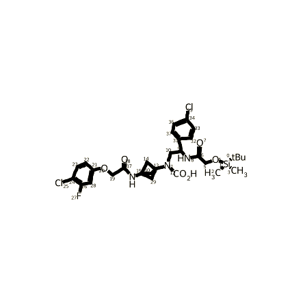 CC(C)(C)[Si](C)(C)OCC(=O)NC(CN(C(=O)O)C12CC(NC(=O)COc3ccc(Cl)c(F)c3)(C1)C2)c1ccc(Cl)cc1